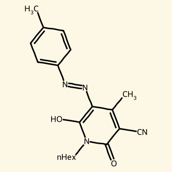 CCCCCCn1c(O)c(/N=N/c2ccc(C)cc2)c(C)c(C#N)c1=O